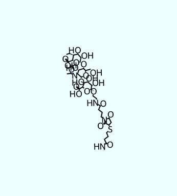 CC[C@@H]1C(C(=O)O)O[C@@H](O[C@@H]2C(CO)O[C@H](O[C@@H]3C(C(=O)O)O[C@@H](OCCNC(=O)CCCN4C(=O)CC(SCCCC(=O)NC)C4=O)C(O)C3O)C(NC(C)=O)C2O)C(O)C1O